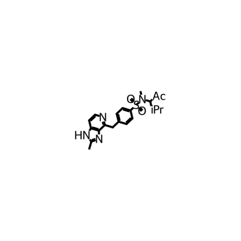 CC(=O)C(C(C)C)N(C)S(=O)(=O)c1ccc(Cc2nccc3[nH]c(C)nc23)cc1